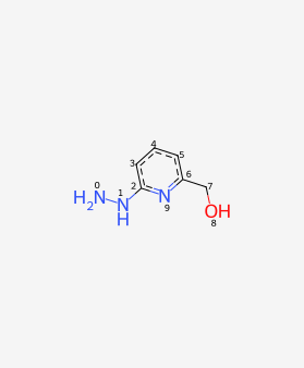 NNc1cccc(CO)n1